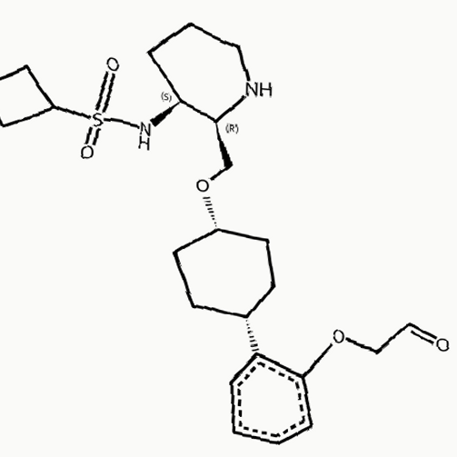 O=CCOc1ccccc1[C@H]1CC[C@@H](OC[C@@H]2NCCC[C@@H]2NS(=O)(=O)C2COC2)CC1